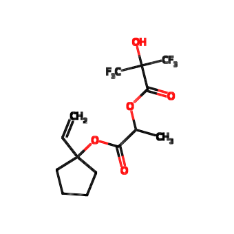 C=CC1(OC(=O)C(C)OC(=O)C(O)(C(F)(F)F)C(F)(F)F)CCCC1